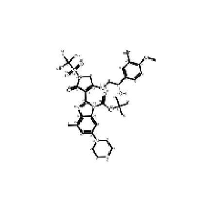 COc1ccc([C@H](O)CNC2=C(c3nc4c(C)cc(N5CCOCC5)cc4n3C(=O)OC(C)(C)C)C(=O)N(S(=O)(=O)C(F)(F)F)C2)cc1Br